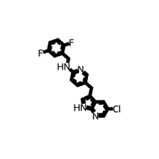 Fc1ccc(F)c(CNc2ccc(Cc3c[nH]c4ncc(Cl)cc34)cn2)c1